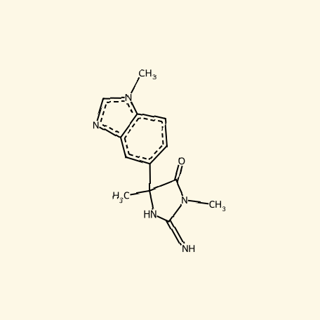 CN1C(=N)NC(C)(c2ccc3c(c2)ncn3C)C1=O